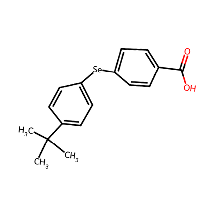 CC(C)(C)c1ccc([Se]c2ccc(C(=O)O)cc2)cc1